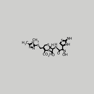 Cc1nnc(SCC2=C(C(=O)O)N3C(=O)C(NC(=O)/C(=N\O)c4csc(=N)[nH]4)[C@H]3SC2)n1C